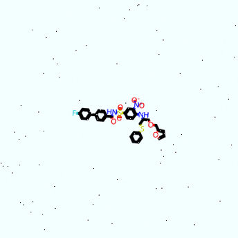 O=C(NS(=O)(=O)c1ccc(NC(COCc2ccco2)CSc2ccccc2)c([N+](=O)[O-])c1)c1ccc(-c2ccc(F)cc2)cc1